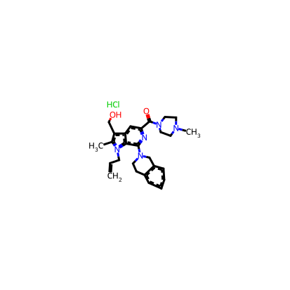 C=CCn1c(C)c(CO)c2cc(C(=O)N3CCN(C)CC3)nc(N3CCc4ccccc4C3)c21.Cl